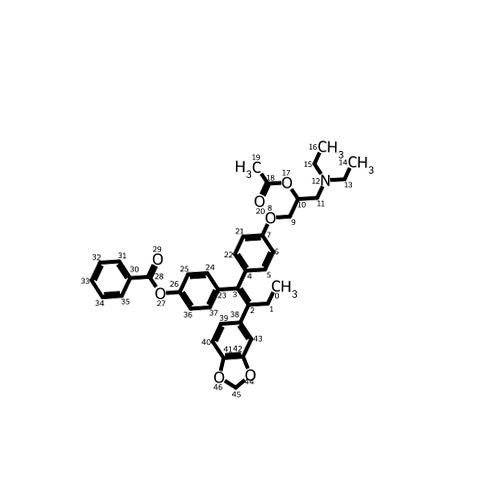 CCC(=C(c1ccc(OCC(CN(CC)CC)OC(C)=O)cc1)c1ccc(OC(=O)c2ccccc2)cc1)c1ccc2c(c1)OCO2